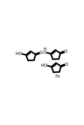 O=C1C=C(O)CC1.O=C1C=C(O)CC1.O=C1C=C(O)CC1.[Fe]